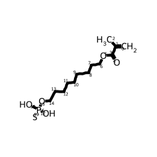 C=C(C)C(=O)OCCCCCCCCCOP(O)(O)=S